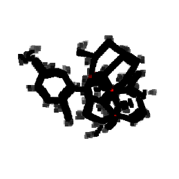 C=C1C=CN=C(C)C(C(=C\C(C)c2cc(C#N)ccc2C)/C2=C\CCOC[C@@H](C)C2)=C1/C1=C\[C@@H](C)CNCCC1